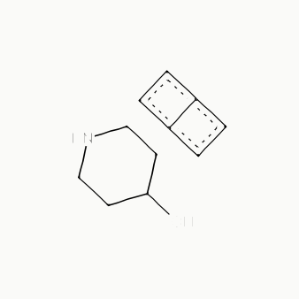 OC1CCNCC1.c1cc2ccc1-2